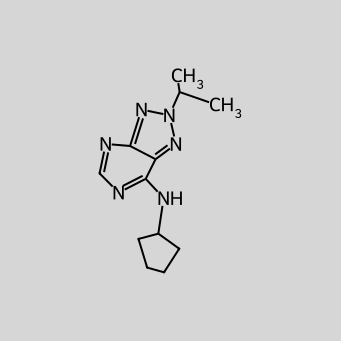 CC(C)n1nc2ncnc(NC3CCCC3)c2n1